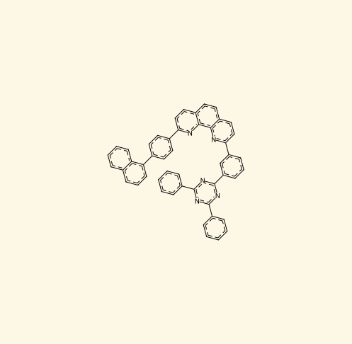 c1ccc(-c2nc(-c3ccccc3)nc(-c3cccc(-c4ccc5ccc6ccc(-c7ccc(-c8cccc9ccccc89)cc7)nc6c5n4)c3)n2)cc1